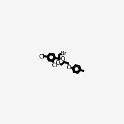 Cc1ccc(OCC2COC(CBr)(c3ccc(Cl)cc3Cl)O2)cc1